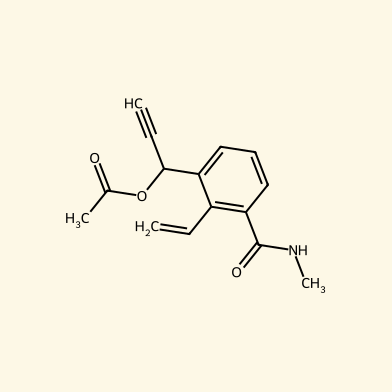 C#CC(OC(C)=O)c1cccc(C(=O)NC)c1C=C